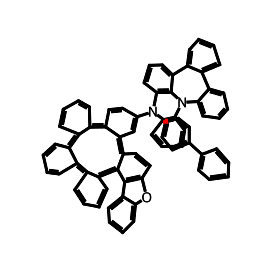 c1ccc(-c2ccc(N(c3ccc4c5ccccc5c5ccccc5c5ccccc5c5c(ccc6oc7ccccc7c65)c4c3)c3cccc4c3N(c3ccccc3)c3ccccc3-c3ccccc3-4)cc2)cc1